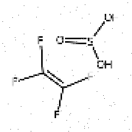 FC(F)=C(F)F.O=S(O)O